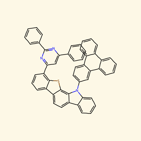 c1ccc(-c2cc(-c3cccc4c3sc3c4ccc4c5ccccc5n(-c5ccc6c7ccccc7c7ccccc7c6c5)c43)nc(-c3ccccc3)n2)cc1